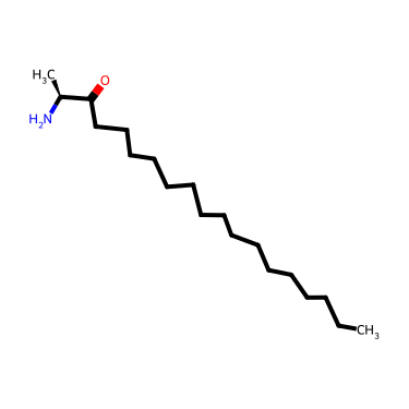 CCCCCCCCCCCCCCCCC(=O)[C@H](C)N